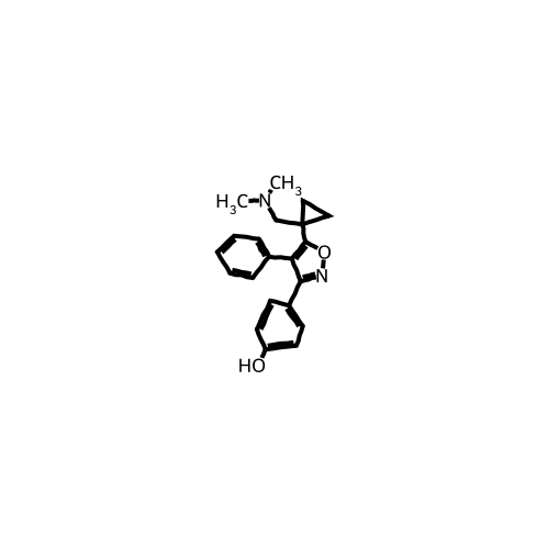 CN(C)CC1(c2onc(-c3ccc(O)cc3)c2-c2ccccc2)CC1